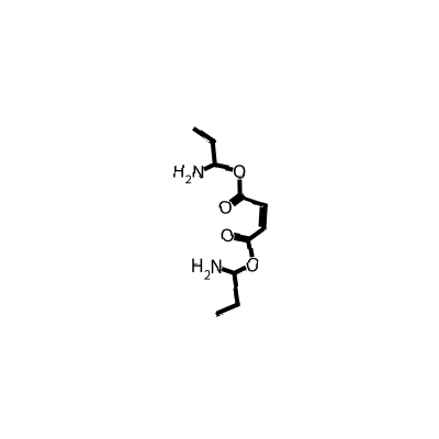 CCC(N)OC(=O)/C=C\C(=O)OC(N)CC